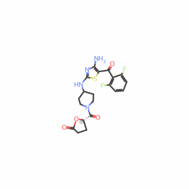 Nc1nc(NC2CCN(C(=O)[C@@H]3CCC(=O)O3)CC2)sc1C(=O)c1c(F)cccc1F